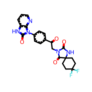 O=C(CN1C(=O)NC2(CCC(F)(F)CC2)C1=O)c1ccc(-n2c(=O)[nH]c3cccnc32)cc1